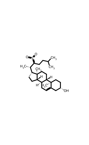 CC(C)CCC([C@@H](C)[C@H]1CC[C@H]2[C@@H]3CC=C4C[C@@H](O)CC[C@]4(C)[C@H]3CC[C@]12C)=S(=O)=O